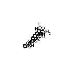 CN(C)[C@@H]1C(O)=C(C(N)=O)C(=O)C2(O)C(O)=C3C(=O)c4c(ccc(NC(=O)CS(=O)(=O)c5ccccc5)c4O)CC3CC12